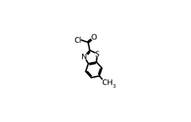 Cc1ccc2nc(C(=O)Cl)sc2c1